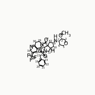 CO[C@@H]1COCC[C@@H]1N[C@@H]1C[C@H]2CN(S(=O)(=O)Cc3ccccc3)C[C@@]2(C(=O)N2CCc3ncc(C(F)(F)F)cc3C2)C1